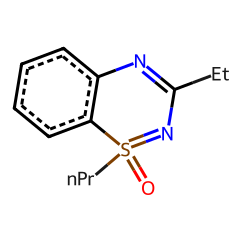 CCCS1(=O)=NC(CC)=Nc2ccccc21